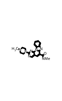 CNC(=O)c1cc2cnc(N3CCN(C)CC3)nc2n2c1nc1ccccc12